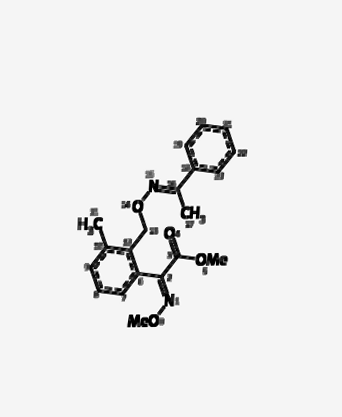 CO/N=C(/C(=O)OC)c1cccc(C)c1CO/N=C(\C)c1ccccc1